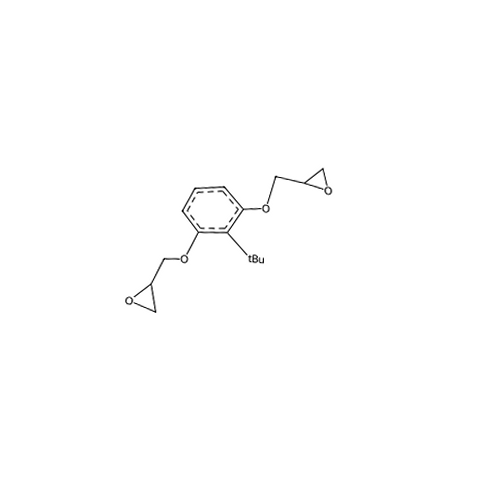 CC(C)(C)c1c(OCC2CO2)cccc1OCC1CO1